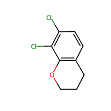 Clc1ccc2c(c1Cl)OCCC2